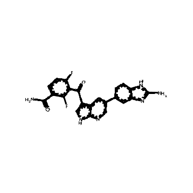 NC(=O)c1ccc(F)c(C(=O)c2c[nH]c3ncc(-c4ccc5[nH]c(N)nc5c4)cc23)c1F